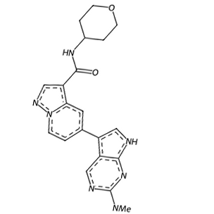 CNc1ncc2c(-c3ccn4ncc(C(=O)NC5CCOCC5)c4c3)c[nH]c2n1